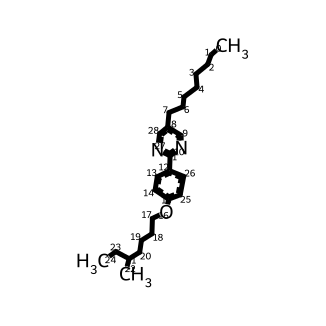 CCCCCCCCc1cnc(-c2ccc(OCCCCC(C)CC)cc2)nc1